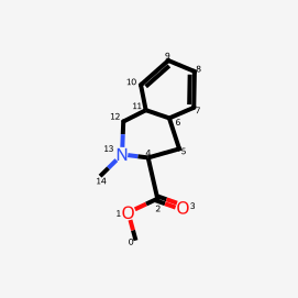 COC(=O)C1CC2C=CC=CC2CN1C